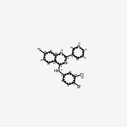 Fc1ccc(Nc2nc(-c3cccnc3)nc3cc(I)ccc23)cc1Cl